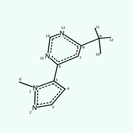 Cn1nccc1-c1cc(C(C)(C)C)ncn1